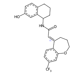 O=C(/C=C1\CCCOc2cc(C(F)(F)F)ccc21)NC1CCCc2ccc(O)cc21